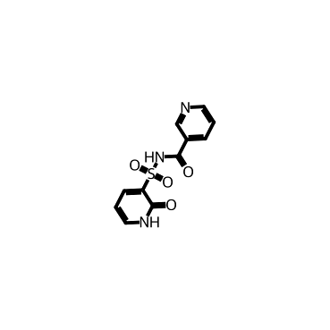 O=C(NS(=O)(=O)c1ccc[nH]c1=O)c1cccnc1